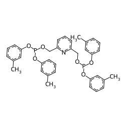 Cc1cccc(OP(OCc2cccc(COP(Oc3cccc(C)c3)Oc3cccc(C)c3)n2)Oc2cccc(C)c2)c1